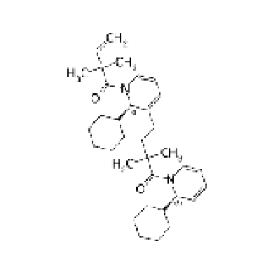 C=CC(C)(C)C(=O)N1C=CC=C(CCC(C)(C)C(=O)N2C=CC=C[C@H]2C2CCCCC2)[C@H]1C1CCCCC1